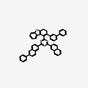 C1=CC2C=CC(c3nc(C4=C(c5cccc(-c6ccccc6)c5)CCc5oc6ccccc6c54)nc(-c4ccc5cc(-c6ccccc6)ccc5c4)n3)=CC2C=C1